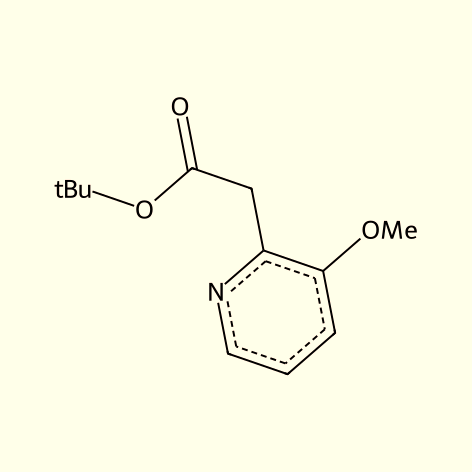 COc1cccnc1CC(=O)OC(C)(C)C